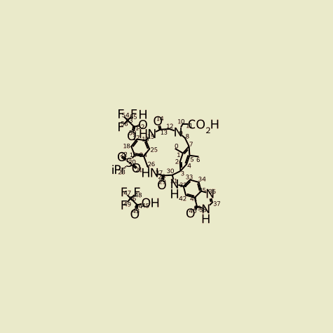 Cc1cc2cc(C)c1CN(CC(=O)O)CC(=O)Nc1ccc(S(=O)(=O)C(C)C)c(c1)CNC(=O)C2Nc1ccc2nc[nH]c(=O)c2c1.O=C(O)C(F)(F)F.O=C(O)C(F)(F)F